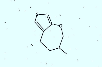 CC1CCc2cscc2OC1